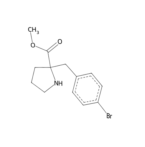 COC(=O)C1(Cc2ccc(Br)cc2)CCCN1